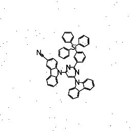 N#Cc1ccc2c(c1)c1ccccc1n2-c1cc(-n2c3ccccc3c3ccccc32)nc(-c2cccc([Si](c3ccccc3)(c3ccccc3)c3ccccc3)c2)n1